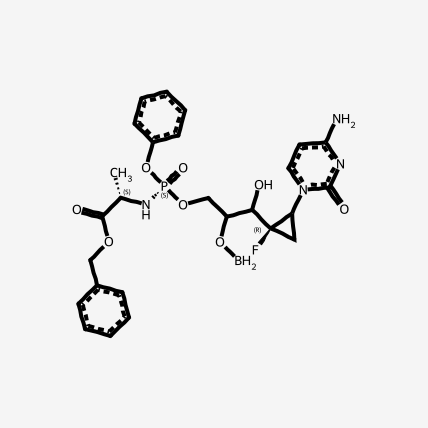 BOC(CO[P@@](=O)(N[C@@H](C)C(=O)OCc1ccccc1)Oc1ccccc1)C(O)[C@@]1(F)CC1n1ccc(N)nc1=O